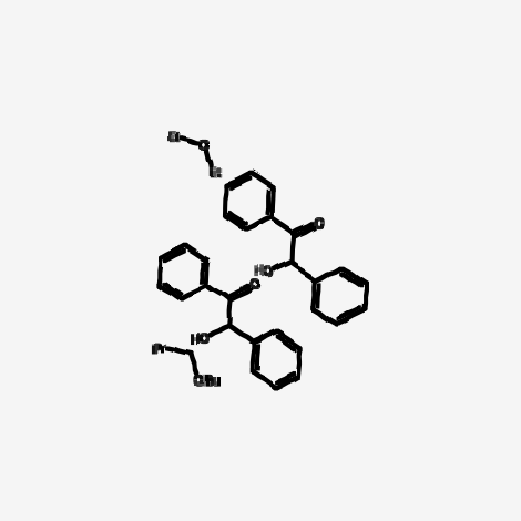 CC(C)COCC(C)C.CCOCC.O=C(c1ccccc1)C(O)c1ccccc1.O=C(c1ccccc1)C(O)c1ccccc1